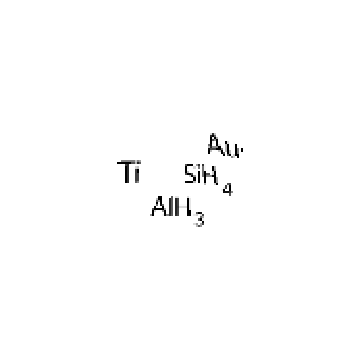 [AlH3].[Au].[SiH4].[Ti]